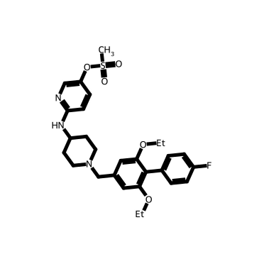 CCOc1cc(CN2CCC(Nc3ccc(OS(C)(=O)=O)cn3)CC2)cc(OCC)c1-c1ccc(F)cc1